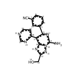 N#Cc1cccc(-c2nc(N)n3nc(CO)nc3c2-c2ccncn2)c1